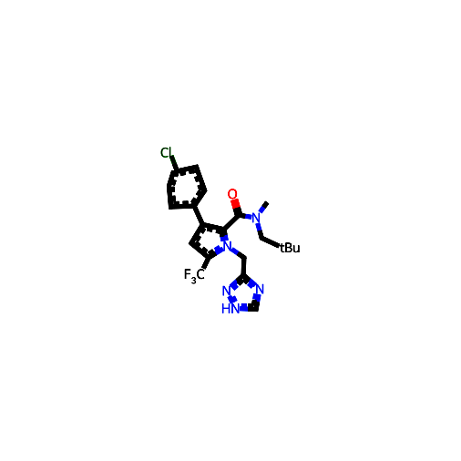 CN(CC(C)(C)C)C(=O)c1c(-c2ccc(Cl)cc2)cc(C(F)(F)F)n1Cc1nc[nH]n1